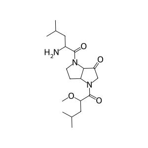 COC(CC(C)C)C(=O)N1CC(=O)C2C1CCN2C(=O)C(N)CC(C)C